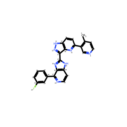 Cc1ccncc1-c1ccc2[nH]nc(-c3nc4c(-c5cccc(F)c5)nccc4[nH]3)c2n1